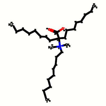 CCCCCCCCC[N+](C)(C)C(CCCCCCCC)(CCCCCCCC)C(=O)[O-]